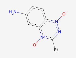 CCc1n[n+]([O-])c2ccc(N)cc2[n+]1[O-]